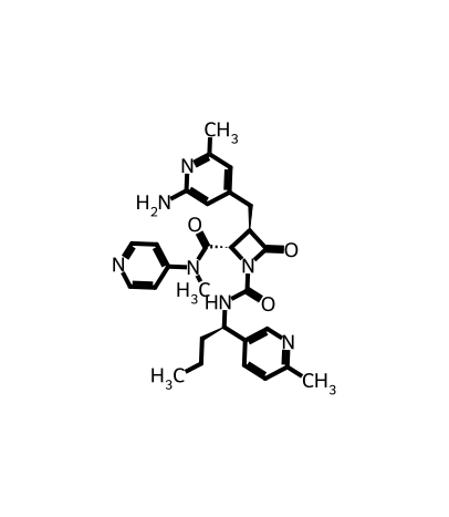 CCC[C@@H](NC(=O)N1C(=O)[C@H](Cc2cc(C)nc(N)c2)[C@H]1C(=O)N(C)c1ccncc1)c1ccc(C)nc1